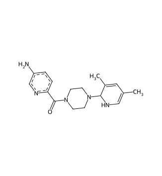 CC1=CNC(N2CCN(C(=O)c3ccc(N)cn3)CC2)C(C)=C1